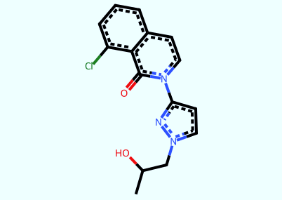 CC(O)Cn1ccc(-n2ccc3cccc(Cl)c3c2=O)n1